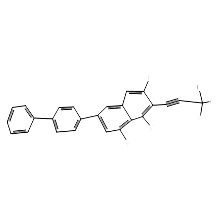 Fc1cc2cc(-c3ccc(-c4ccccc4)cc3)cc(F)c2c(F)c1C#CC(F)(F)F